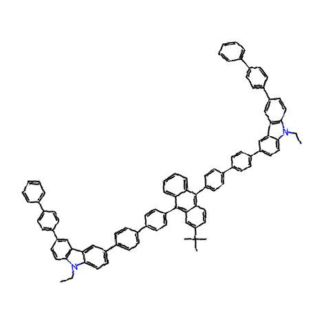 CCn1c2ccc(-c3ccc(-c4ccccc4)cc3)cc2c2cc(-c3ccc(-c4ccc(-c5c6ccccc6c(-c6ccc(-c7ccc(-c8ccc9c(c8)c8cc(-c%10ccc(-c%11ccccc%11)cc%10)ccc8n9CC)cc7)cc6)c6cc(C(C)(C)C)ccc56)cc4)cc3)ccc21